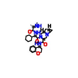 CN[C@@H](C)C(=O)N[C@H](C(=O)N1C[C@H]2C[C@H]3CC3N2C[C@H]1C(=O)N[C@@H]1CCOc2ccccc21)C1CCCCC1